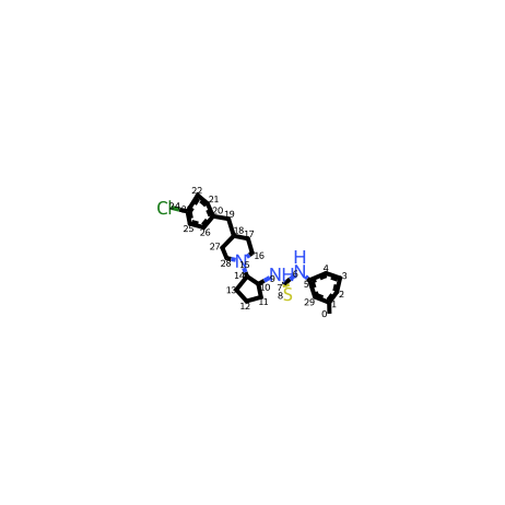 Cc1cccc(NC(=S)NC2CCCC2N2CCC(Cc3ccc(Cl)cc3)CC2)c1